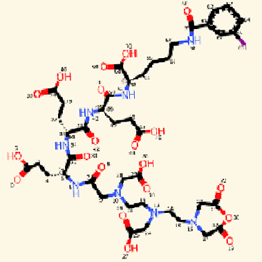 O=C(O)CC[C@@H](NC(=O)CN(CCN(CCN1CC(=O)OC(=O)C1)CC(=O)O)CC(=O)O)C(=O)N[C@H](CCC(=O)O)C(=O)N[C@H](CCC(=O)O)C(=O)N[C@H](CCCCNC(=O)c1cccc(I)c1)C(=O)O